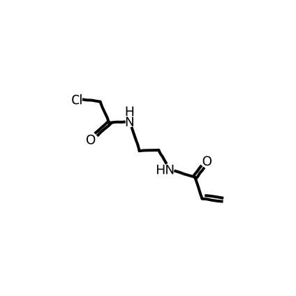 C=CC(=O)NCCNC(=O)CCl